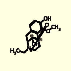 CCN1CC[C@]23CC(=O)CC[C@@]2(O)C1Cc1ccc(O)c(OC)c13